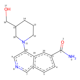 NC(=O)c1ccc2cncc(N3CCCC(CO)C3)c2c1